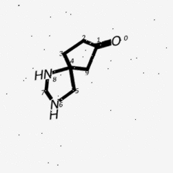 O=C1CCC2(CNCN2)C1